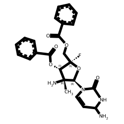 C[C@]1(N)[C@H](N2C=CC(N)NC2=O)O[C@](F)(COC(=O)c2ccccc2)[C@H]1OC(=O)c1ccccc1